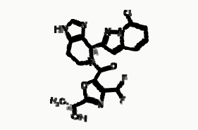 C[C@@H](O)c1nc(C(F)F)c(C(=O)N2CCc3[nH]cnc3[C@H]2c2cc3cccc(Cl)n3n2)o1